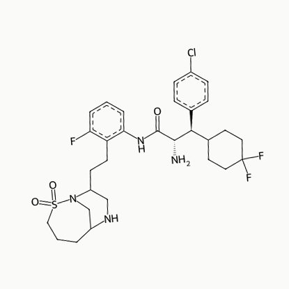 N[C@H](C(=O)Nc1cccc(F)c1CCC1CNC2CCCS(=O)(=O)N1C2)[C@@H](c1ccc(Cl)cc1)C1CCC(F)(F)CC1